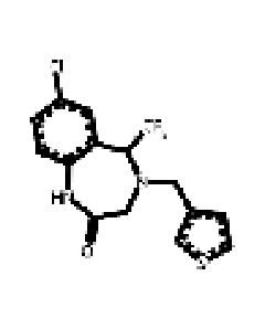 O=C1CN(Cc2ccsc2)C(C(F)(F)F)c2cc(Cl)ccc2N1